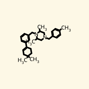 Cc1ccc(CN2CC(C)N(Cc3cccc(C4=CCC(C)(C)CC4)c3)C(C)C2)cc1